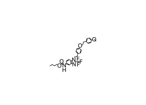 CCCCOC(=O)Nc1ccc2c(c1)nc(C(F)(F)F)n2CCc1ccc(OCCc2ccc(OC)cc2)cc1